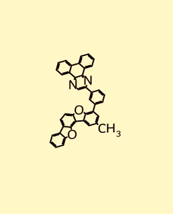 Cc1cc(-c2cccc(-c3cnc4c5ccccc5c5ccccc5c4n3)c2)c2oc3ccc4c5ccccc5oc4c3c2c1